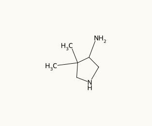 CC1(C)CNCC1N